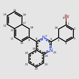 BrC1=CC=CC(c2nc(C3=CC=C4C=CC=CC4C3)c3ccccc3n2)C1